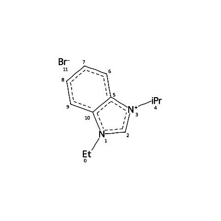 CCn1c[n+](C(C)C)c2ccccc21.[Br-]